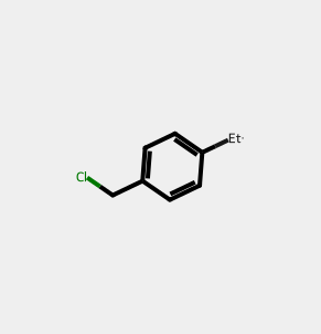 C[CH]c1ccc(CCl)cc1